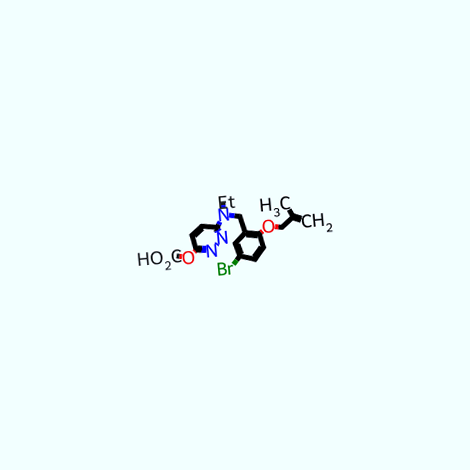 C=C(C)COc1ccc(Br)cc1CN(CC)c1ccc(OC(=O)O)nn1